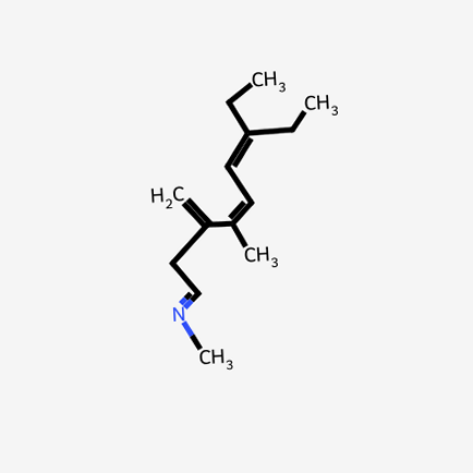 C=C(C/C=N/C)/C(C)=C\C=C(CC)CC